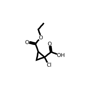 CCOC(=O)C1CC1(Cl)C(=O)O